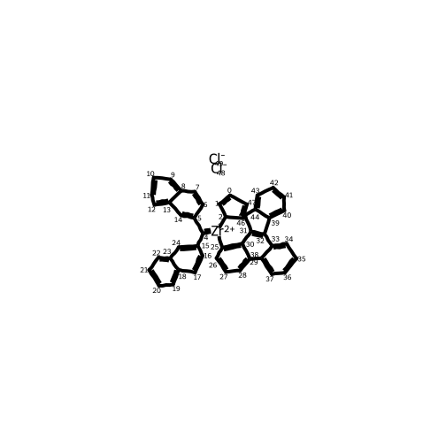 C1=C[CH]([Zr+2](=[C](c2ccc3ccccc3c2)c2ccc3ccccc3c2)[c]2cccc3c2c2c(c4ccccc43)-c3ccccc3C2)C=C1.[Cl-].[Cl-]